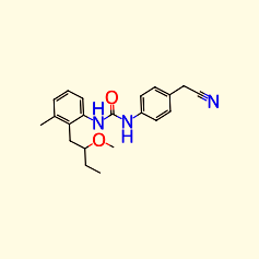 CCC(Cc1c(C)cccc1NC(=O)Nc1ccc(CC#N)cc1)OC